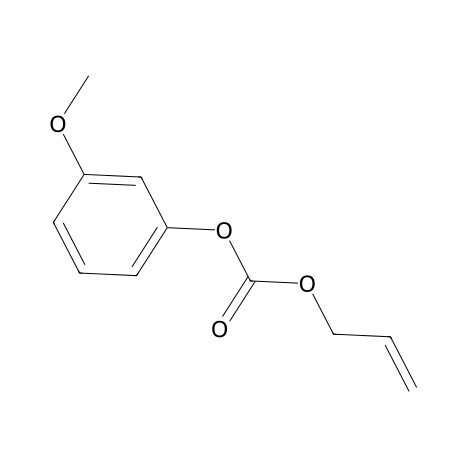 C=CCOC(=O)Oc1cccc(OC)c1